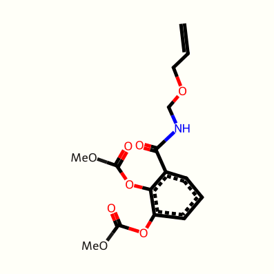 C=CCOCNC(=O)c1cccc(OC(=O)OC)c1OC(=O)OC